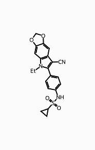 CCn1c(-c2ccc(NS(=O)(=O)C3CC3)cc2)c(C#N)c2cc3c(cc21)OCO3